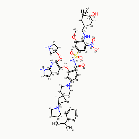 CC(C)c1ccccc1[C@H]1CCCN1C1CC2(CCN(c3ccc(C(=O)NS(=O)(=O)c4cc5c(c([N+](=O)[O-])c4)N[C@@H]([C@H]4CC[C@](C)(O)CC4)CO5)c(Oc4cc5cc[nH]c5nc4O[C@@H]4CCNC4)c3)CC2)C1